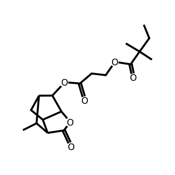 CCC(C)(C)C(=O)OCCC(=O)OC1C2CC3C1OC(=O)C3C2C